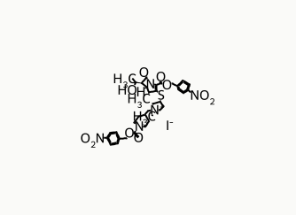 CC(O)[C@H]1C(=O)N2C(C(=O)OCc3ccc([N+](=O)[O-])cc3)=C(S[C@@H]3CC[N+](C)(CC4CCN(C(=O)OCc5ccc([N+](=O)[O-])cc5)CC4)C3)[C@H](C)[C@H]12.[I-]